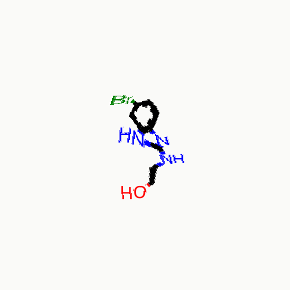 OCCNc1nc2ccc(Br)cc2[nH]1